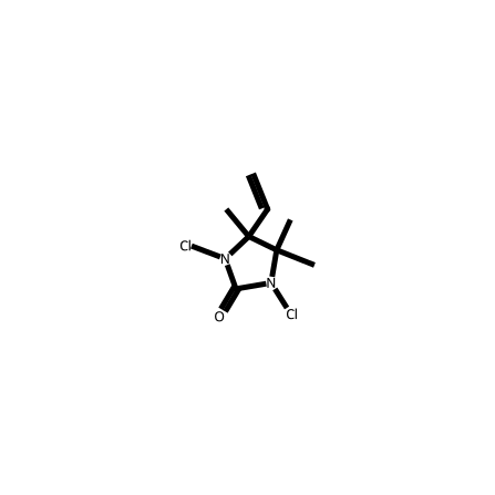 C=CC1(C)N(Cl)C(=O)N(Cl)C1(C)C